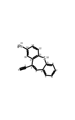 C#CC1=Cc2ccccc2Sc2ccc(C(C)C)cc21